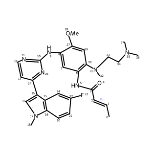 C/C=C/C(=O)Nc1cc(Nc2nccc(-c3cn(C)c4ccc(F)cc34)n2)c(OC)cc1N(C)CCN(C)C